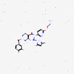 Cc1cc(C)n(-c2nc3c(c(=O)n2-c2ccc(OCCN(C)C)nc2)C[C@@H](C)N(C(=O)c2ccc(Br)c(C(F)(F)F)c2)C3)n1